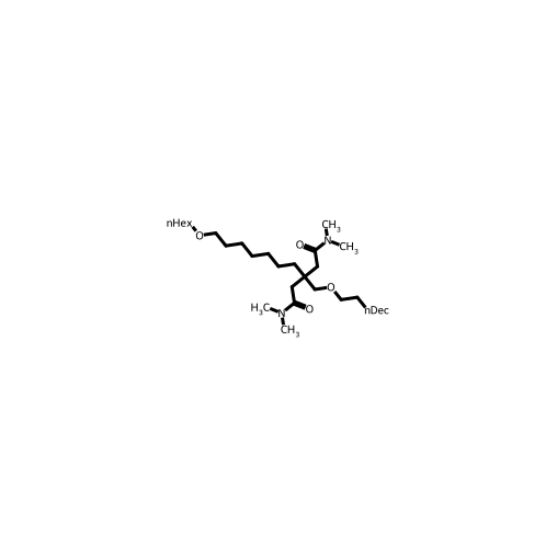 CCCCCCCCCCCCOCC(CCCCCCCOCCCCCC)(CC(=O)N(C)C)CC(=O)N(C)C